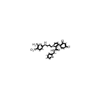 Nc1nc(NCCCn2ccc(-c3ccc(Cl)cc3Cl)c2C(=O)NCc2ccccn2)ccc1[N+](=O)[O-]